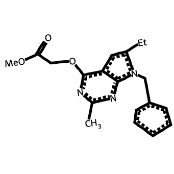 CCc1cc2c(OCC(=O)OC)nc(C)nc2n1Cc1ccccc1